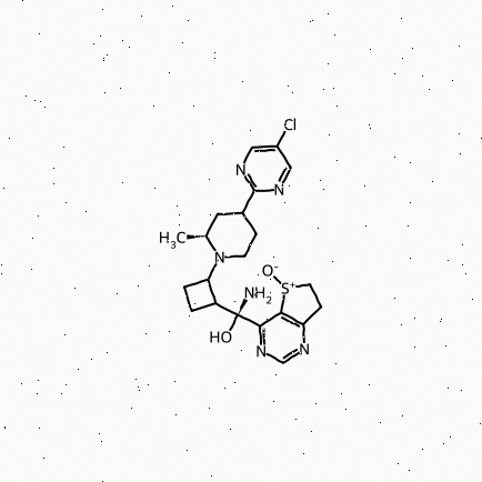 C[C@H]1CC(c2ncc(Cl)cn2)CCN1C1CCC1[C@@](N)(O)c1ncnc2c1[S+]([O-])CC2